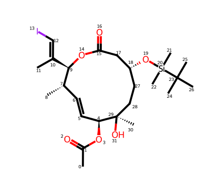 CC(=O)O[C@H]1/C=C/[C@H](C)[C@@H](/C(C)=C/I)OC(=O)C[C@H](O[Si](C)(C)C(C)(C)C)CC[C@@]1(C)O